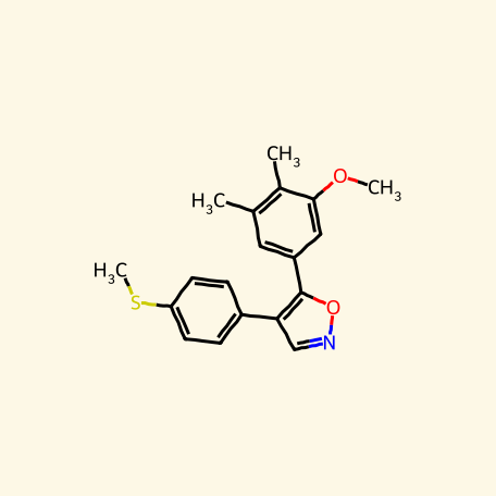 COc1cc(-c2oncc2-c2ccc(SC)cc2)cc(C)c1C